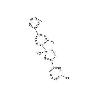 OC12N=C(c3cccc(Cl)c3)SC1Cc1cc(-c3cccs3)ccc12